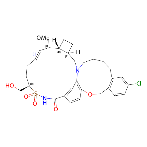 CO[C@H]1/C=C/CC[C@H](CO)S(=O)(=O)NC(=O)c2ccc3c(c2)N(CCCCc2cc(Cl)ccc2CO3)C[C@@H]2CC[C@H]21